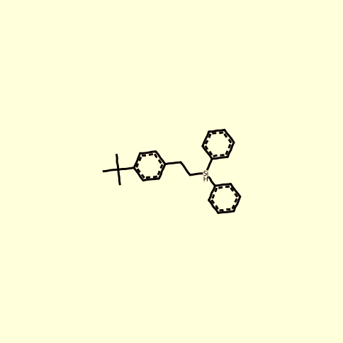 CC(C)(C)c1ccc(CC[SiH](c2ccccc2)c2ccccc2)cc1